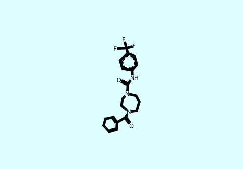 O=C(Nc1ccc(C(F)(F)F)cc1)N1CCCN(C(=O)C2=CCCC=C2)CC1